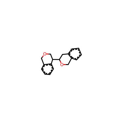 [c]1cccc2c1CC(C1COCc3ccccc31)OC2